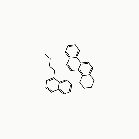 CCCCc1cccc2ccccc12.c1ccc2c(c1)ccc1c3c(ccc12)CCCC3